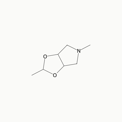 CC1OC2CN(C)CC2O1